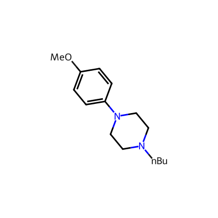 CCCCN1CCN(c2ccc(OC)cc2)CC1